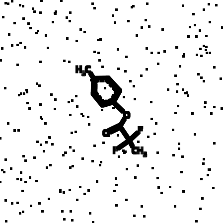 Cc1ccc(OC(=O)C(C)(F)F)cc1